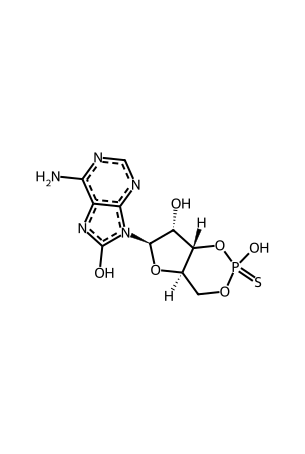 Nc1ncnc2c1nc(O)n2[C@@H]1O[C@@H]2COP(O)(=S)O[C@H]2[C@H]1O